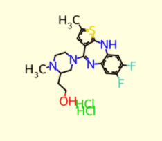 Cc1cc2c(s1)Nc1cc(F)c(F)cc1N=C2N1CCN(C)C(CCO)C1.Cl.Cl